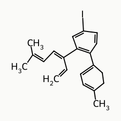 C=C/C(=C\C=C(C)C)c1cc(I)ccc1C1=CC=C(C)CC1